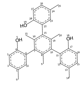 Cc1ccc(O)c(-c2c(C)c(-c3cc(C)ccc3O)c(C)c(-c3cc(C)ccc3O)c2C)c1